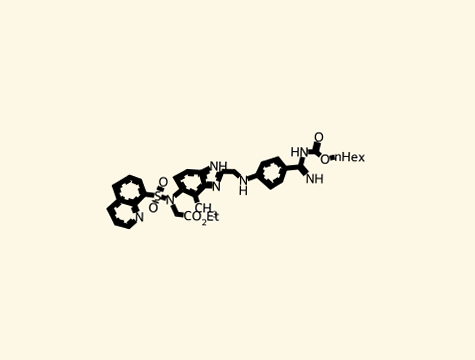 CCCCCCOC(=O)NC(=N)c1ccc(NCc2nc3c(C)c(N(CC(=O)OCC)S(=O)(=O)c4cccc5cccnc45)ccc3[nH]2)cc1